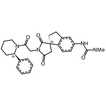 CNC(=O)Nc1ccc2c(c1)CC[C@@]21CC(=O)N(CC(=O)N2CCCC[C@@H]2c2ccccc2)C1=O